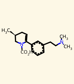 C[C@H]1CC=C(c2cccc(CCN(C)C)c2)N(C(=O)O)C1